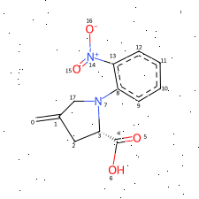 C=C1C[C@@H](C(=O)O)N(c2ccccc2[N+](=O)[O-])C1